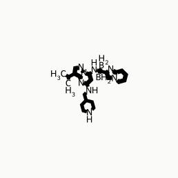 BC(B)(Nc1cc(NCC2CCNCC2)nc2c(C(C)C)cnn12)c1cn2ccccc2n1